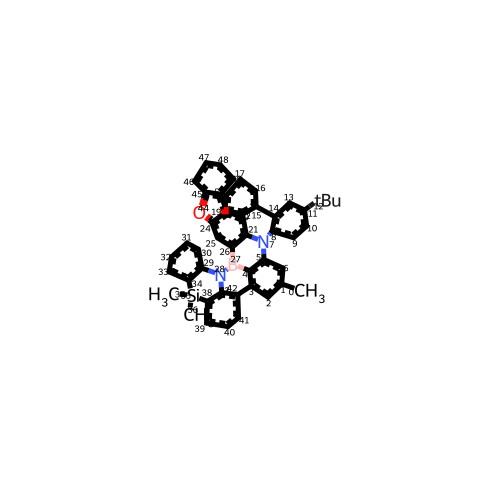 Cc1cc2c3c(c1)N(c1ccc(C(C)(C)C)cc1-c1ccccc1)c1cc4c(cc1B3N1c3ccccc3[Si](C)(C)c3cccc-2c31)oc1ccccc14